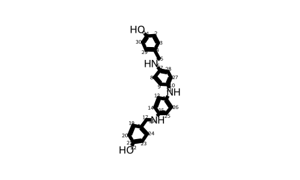 Oc1ccc(CNc2ccc(Nc3ccc(NCc4ccc(O)cc4)cc3)cc2)cc1